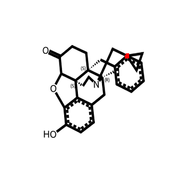 O=C1CC[C@@]2(Cc3ccccc3)[C@H]3Cc4ccc(O)c5c4[C@@]2(CCN3CC2CC2)C1O5